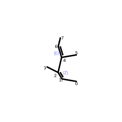 C/[C]=C(C)\C(C)=C\C